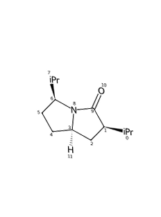 CC(C)[C@H]1C[C@H]2CC[C@@H](C(C)C)N2C1=O